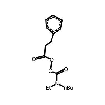 CCCCN(CC)C(=O)OOC(=O)CCc1ccccc1